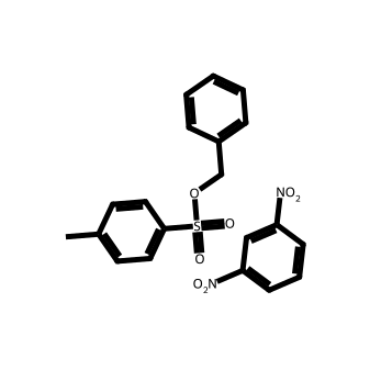 Cc1ccc(S(=O)(=O)OCc2ccccc2)cc1.O=[N+]([O-])c1cccc([N+](=O)[O-])c1